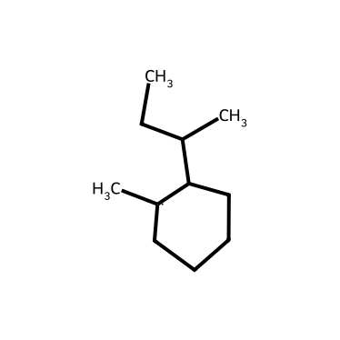 CCC(C)C1CCCC[C]1C